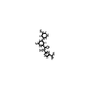 Cc1cc(-c2cncc(F)c2)cc(C(=O)Nc2nc(C(F)F)cs2)n1